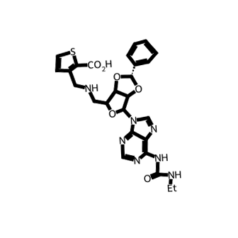 CCNC(=O)Nc1ncnc2c1ncn2C1OC(CNCc2ccsc2C(=O)O)C2O[C@H](c3ccccc3)OC21